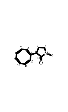 CN1CCC(C2=C/C=C\C=C/C=C\2)C1=O